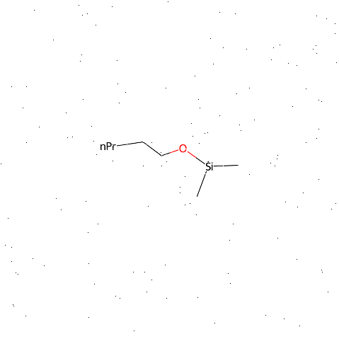 CCCCCO[Si](C)C